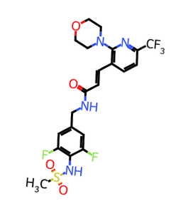 CS(=O)(=O)Nc1c(F)cc(CNC(=O)C=Cc2ccc(C(F)(F)F)nc2N2CCOCC2)cc1F